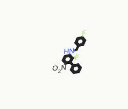 O=[N+]([O-])c1ccc(NCc2ccc(F)cc2)c(F)c1-c1ccccc1